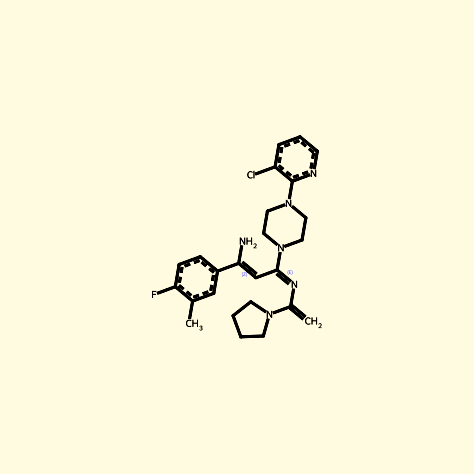 C=C(/N=C(\C=C(/N)c1ccc(F)c(C)c1)N1CCN(c2ncccc2Cl)CC1)N1CCCC1